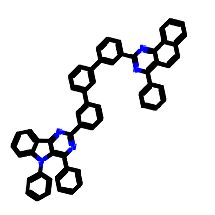 c1ccc(-c2nc(-c3cccc(-c4cccc(-c5cccc(-c6nc(-c7ccccc7)c7c(n6)c6ccccc6n7-c6ccccc6)c5)c4)c3)nc3c2ccc2ccccc23)cc1